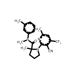 Cc1cccc(N(C)C(=O)C2(C)CCCN2c2nc(C)cc(C(F)(F)F)c2C#N)c1